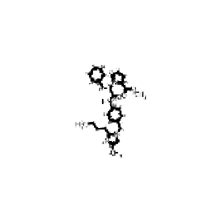 CCCCc1nc(C)cn1Cc1ccc(NC(=O)[C@H](Cc2ccccc2)n2cccc2C(=O)OC)cc1